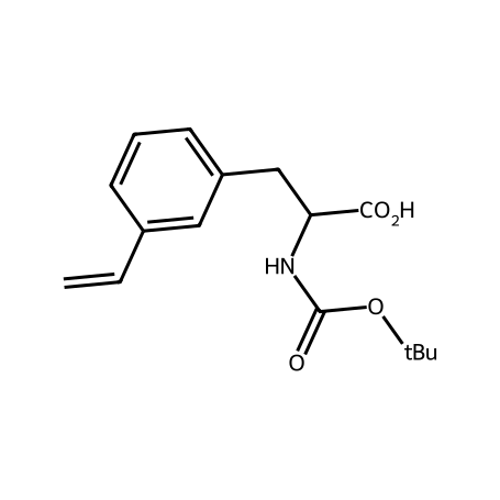 C=Cc1cccc(CC(NC(=O)OC(C)(C)C)C(=O)O)c1